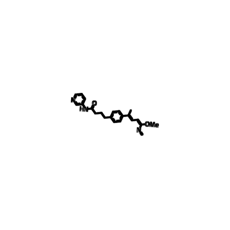 C=N/C(=C\C=C(/C)c1ccc(CCCC(=O)Nc2cccnc2)cc1)OC